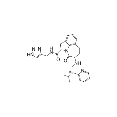 CC(C)[C@H](CNC1CCc2cccc3c2N(C1=O)C(C(=O)NCc1c[nH]nn1)C3)c1ccccn1